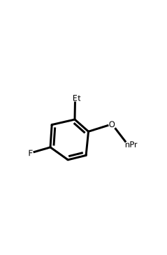 [CH2]CCOc1ccc(F)cc1CC